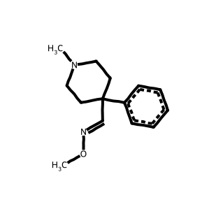 CON=CC1(c2ccccc2)CCN(C)CC1